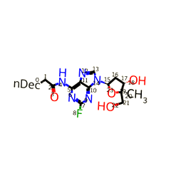 CCCCCCCCCCCC(=O)Nc1nc(F)nc2c1ncn2[C@H]1C[C@H](O)[C@@](C)(CO)O1